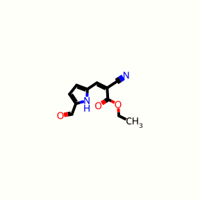 CCOC(=O)C(C#N)=Cc1ccc(C=O)[nH]1